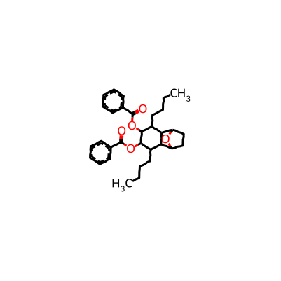 CCCCC1C(OC(=O)c2ccccc2)C(OC(=O)c2ccccc2)C(CCCC)C2C3CCC(O3)C12